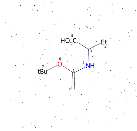 C=C(NC(CC)C(=O)O)OC(C)(C)C